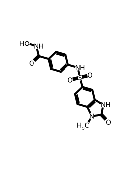 Cn1c(=O)[nH]c2cc(S(=O)(=O)Nc3ccc(C(=O)NO)cc3)ccc21